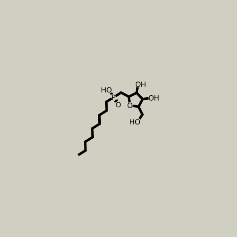 CCCCCCCCCP(=O)(O)CC1OC(CO)C(O)C1O